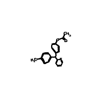 CC(=O)Oc1ccc(C(c2ccc(C)cc2)c2ccccn2)cc1